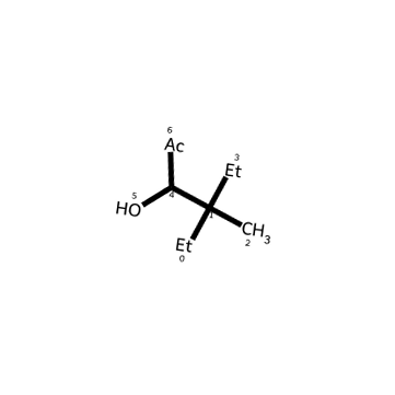 CCC(C)(CC)C(O)C(C)=O